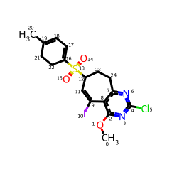 COc1nc(Cl)nc2c1C(I)=CC(S(=O)(=O)C1=CC=C(C)CC1)CC2